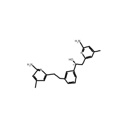 Cc1cc(N)nc(CCc2cccc([C@@H](O)Cc3cc(C)cc(N)n3)c2)c1